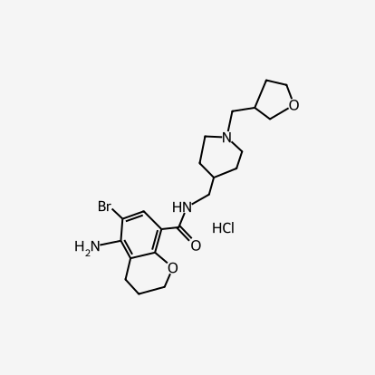 Cl.Nc1c(Br)cc(C(=O)NCC2CCN(CC3CCOC3)CC2)c2c1CCCO2